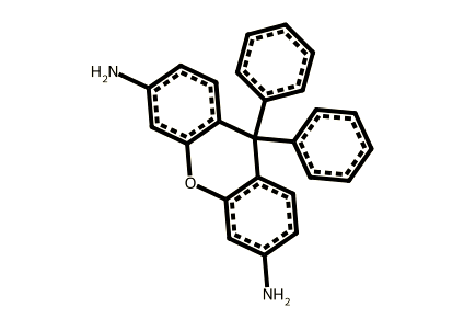 Nc1ccc2c(c1)Oc1cc(N)ccc1C2(c1ccccc1)c1ccccc1